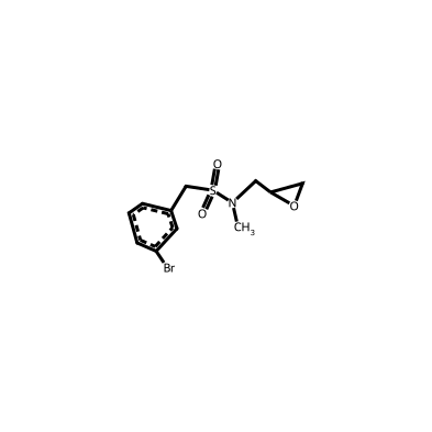 CN(CC1CO1)S(=O)(=O)Cc1cccc(Br)c1